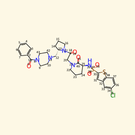 O=C(c1ccccc1)N1CCN(C[C@@H]2CCCN2C(=O)CN2CCC[C@H](NS(=O)(=O)c3cc4cc(Cl)ccc4s3)C2=O)CC1